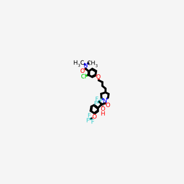 CN(C)C(=O)c1ccc(OCCCCC2CCN(C(=O)[C@@](O)(c3cccc(OC(F)(F)F)c3)C(F)(F)F)CC2)cc1Cl